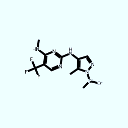 CNc1nc(Nc2cnn([S+](C)[O-])c2C)ncc1C(F)(F)F